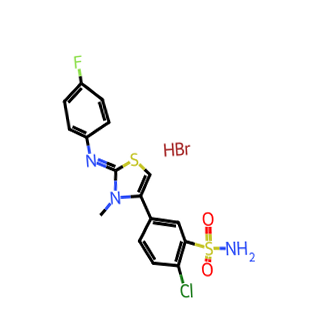 Br.Cn1c(-c2ccc(Cl)c(S(N)(=O)=O)c2)csc1=Nc1ccc(F)cc1